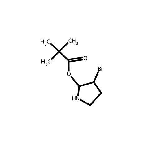 CC(C)(C)C(=O)OC1NCCC1Br